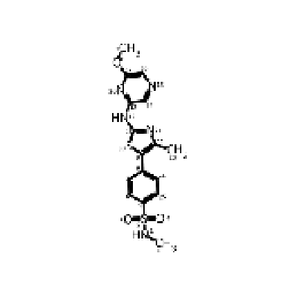 CNS(=O)(=O)c1ccc(-c2sc(Nc3cncc(OC)n3)nc2C)cc1